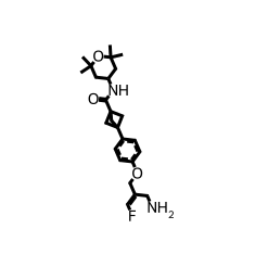 CC1(C)CC(NC(=O)C23CC(c4ccc(OC/C(=C/F)CN)cc4)(C2)C3)CC(C)(C)O1